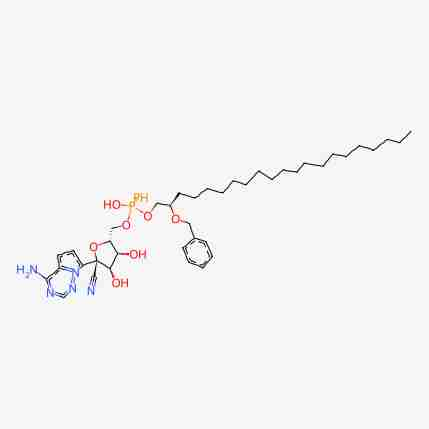 CCCCCCCCCCCCCCCCCCC[C@H](COP(O)(=P)OC[C@H]1O[C@@](C#N)(c2ccc3c(N)ncnn23)[C@H](O)[C@@H]1O)OCc1ccccc1